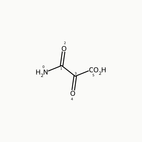 NC(=O)C(=O)C(=O)O